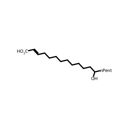 CCCCCC(O)CCCCCCCCC/C=C/C(=O)O